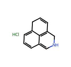 C1=CC2=c3c(cccc3=CNC2)C1.Cl